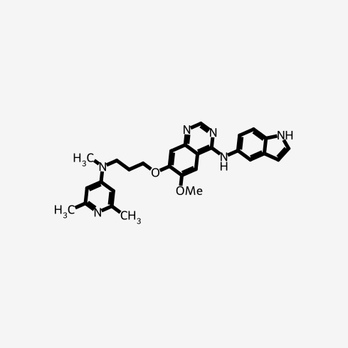 COc1cc2c(Nc3ccc4[nH]ccc4c3)ncnc2cc1OCCCN(C)c1cc(C)nc(C)c1